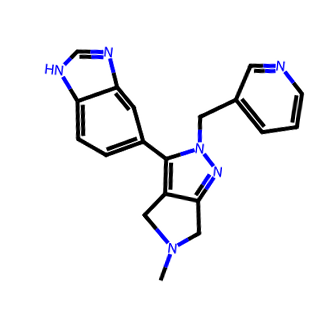 CN1Cc2nn(Cc3cccnc3)c(-c3ccc4[nH]cnc4c3)c2C1